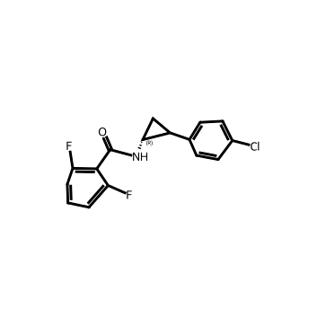 O=C(N[C@@H]1CC1c1ccc(Cl)cc1)c1c(F)cccc1F